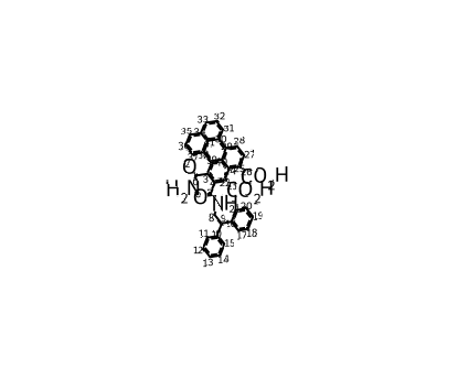 NC(=O)c1c(C(=O)NCC(c2ccccc2)c2ccccc2)c(C(=O)O)c2c(C(=O)O)ccc3c4cccc5cccc(c1c23)c54